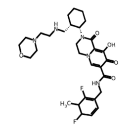 CC1C(F)=C(CNC(=O)c2cn3c(c(O)c2=O)C(=O)N([C@H]2CCCC[C@H]2CNCCN2CCOCC2)CC3)C=CC1F